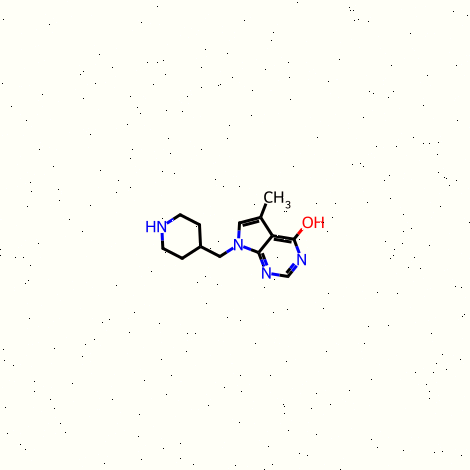 Cc1cn(CC2CCNCC2)c2ncnc(O)c12